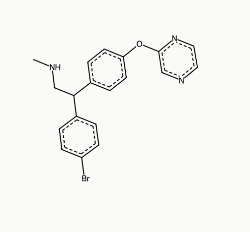 CNCC(c1ccc(Br)cc1)c1ccc(Oc2cnccn2)cc1